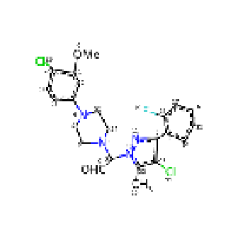 COc1cc(N2CCN(C(C=O)n3nc(-c4ccccc4F)c(Cl)c3C)CC2)ccc1Cl